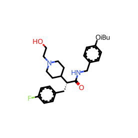 CC(C)COc1ccc(CNC(=O)[C@H](Cc2ccc(F)cc2)C2CCN(CCO)CC2)cc1